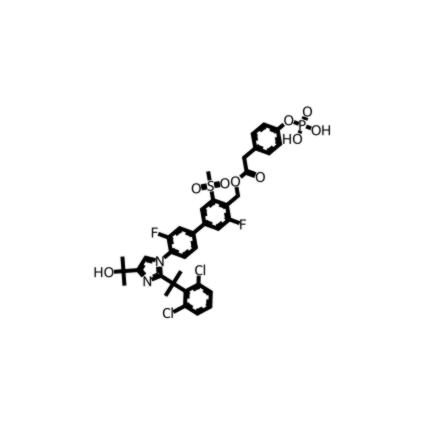 CC(C)(O)c1cn(-c2ccc(-c3cc(F)c(COC(=O)Cc4ccc(OP(=O)(O)O)cc4)c(S(C)(=O)=O)c3)cc2F)c(C(C)(C)c2c(Cl)cccc2Cl)n1